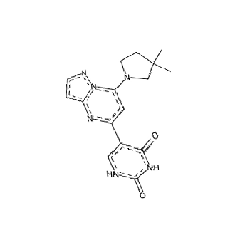 CC1(C)CCN(c2cc(-c3c[nH]c(=O)[nH]c3=O)nc3ccnn23)C1